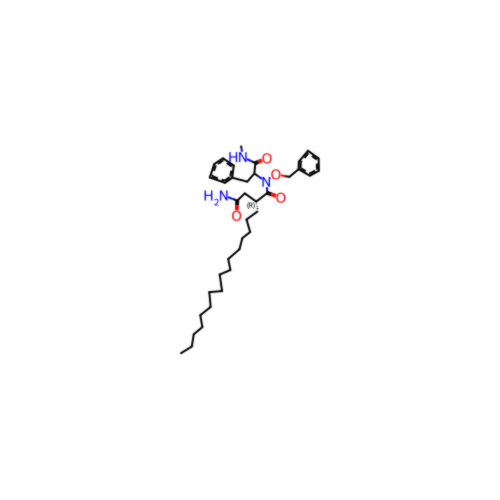 CCCCCCCCCCCCCCCC[C@H](CC(N)=O)C(=O)N(OCc1ccccc1)C(Cc1ccccc1)C(=O)NC